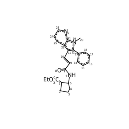 CCOC(=O)C1CCCC1NC(=O)/C=C/c1c(-c2ccccc2)n(C)c2ncccc12